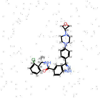 CC(C)[C@H](NC(=O)c1ccc2[nH]nc(-c3ccc(N4CCN(C5COC5)CC4)cc3)c2c1)c1ccccc1Cl